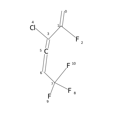 C=C(F)C(Cl)=C=CC(F)(F)F